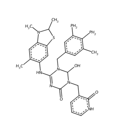 Cc1cc2c(cc1NC1=NC(=O)N(Cc3ccc[nH]c3=O)C(O)N1Cc1cc(C)c(P)c(P)c1)SC(C)N2C